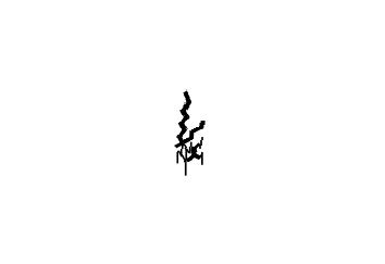 CCCCCCCC(C)(CCCC)n1nc(I)c(I)c1I